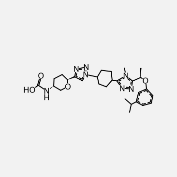 CC(C)c1cccc(O[C@H](C)c2nnc(C3CCC(n4cc([C@@H]5CC[C@@H](NC(=O)O)CO5)nn4)CC3)n2C)c1